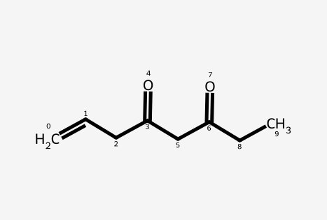 C=CCC(=O)CC(=O)CC